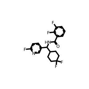 O=C(NC(c1ccc(F)nc1)C1CCC(F)(F)CC1)c1cccc(F)c1F